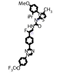 COc1ccc(-n2c(C)cs/c2=N\C(=O)N/C=C(\F)c2ccc(-c3ncn(-c4ccc(OC(F)(F)F)cc4)n3)cc2)c(C(C)C)c1